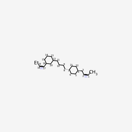 C/C=C\C[C@H]1CC[C@H](CCCCC2CCCC(/C=C\CC)C2)CC1